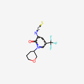 O=c1c(N=C=S)cc(C(F)(F)F)cn1C1CCCOC1